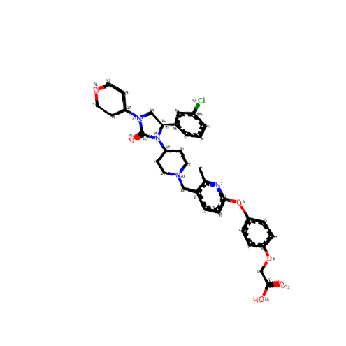 Cc1nc(Oc2ccc(OCC(=O)O)cc2)ccc1CN1CCC(N2C(=O)N(C3CCOCC3)C[C@H]2c2cccc(Cl)c2)CC1